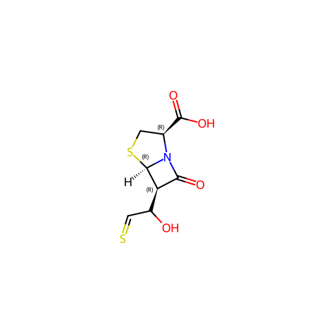 O=C(O)[C@@H]1CS[C@@H]2[C@H](C(O)C=S)C(=O)N21